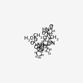 CC(C)OC(=O)[C@H](C)NP(=O)(OC[C@H]1O[C@@H](n2ccc(=O)[nH]c2=O)[C@](C)(C#N)[C@@H]1OC(=O)C1CCC1)Oc1ccccc1